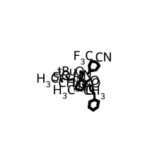 C[C@H]1C[C@@]2(C)O[C@]1(CCO[Si](C)(C)C(C)(C)C)[C@@H]1C(=O)N(c3ccc(C#N)c(C(F)(F)F)c3)C(=O)[C@@]12C(=O)OCc1ccccc1